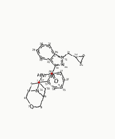 O=C(NC1CC2COCC(C1)N2Cc1ccccc1)c1nn(CC2CC2)c2ccccc12